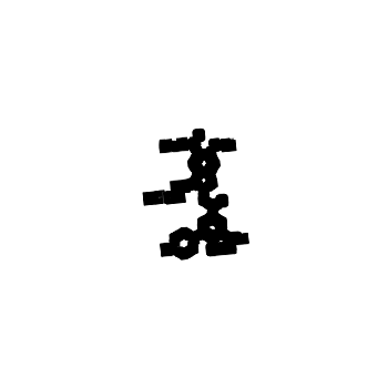 CCOc1cc2c(cc1C(=O)NC)C(=N)N(CC(=O)c1cc(N3CCNCC3)c(OC)c(C(C)(C)C)c1)C2.Cl.Cl